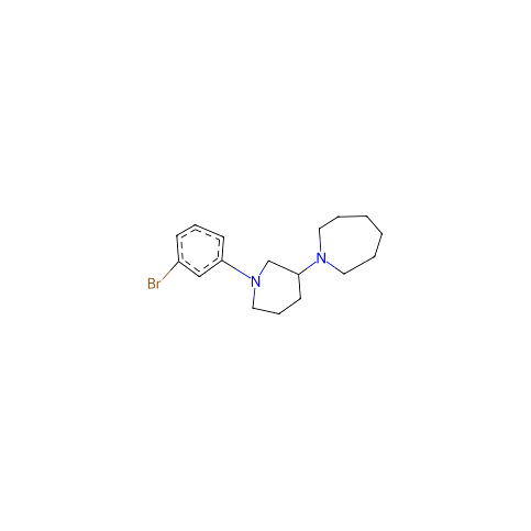 Brc1cccc(N2CCCC(N3CCCCCC3)C2)c1